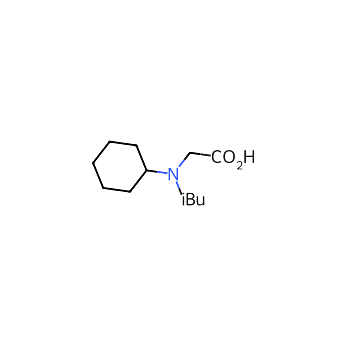 CCC(C)N(CC(=O)O)C1CCCCC1